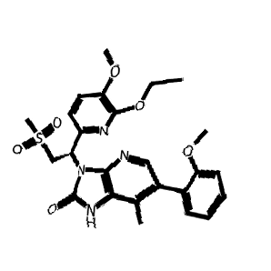 CCOc1nc([C@H](CS(C)(=O)=O)n2c(=O)[nH]c3c(C)c(-c4ccccc4OC)cnc32)ccc1OC